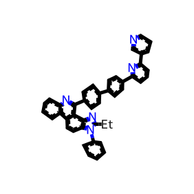 CCc1nc2c3c(-c4ccc(-c5ccc(-c6cccc(-c7cccnc7)n6)cc5)cc4)nc4ccccc4c3ccc2n1-c1ccccc1